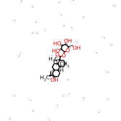 C=C1C[C@]23CC[C@@H]4[C@](C)(CCC[C@@]4(C)C(=O)O[C@@H]4O[C@H](CO)[C@@H](O)[C@H](O)[C@H]4O)[C@H]2CC[C@@]1(O)C3